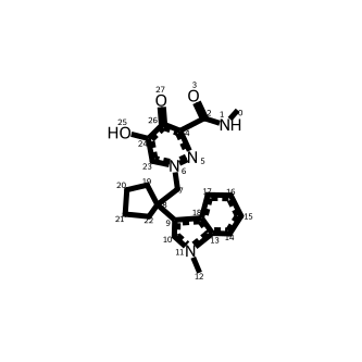 CNC(=O)c1nn(CC2(c3cn(C)c4ccccc34)CCCC2)cc(O)c1=O